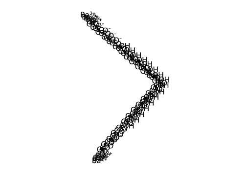 O=S(=O)(O)O.O=S(=O)(O)O.O=S(=O)(O)O.O=S(=O)(O)O.O=S(=O)(O)O.O=S(=O)(O)O.O=S(=O)(O)O.O=S(=O)(O)O.O=S(=O)(O)O.O=S(=O)(O)O.O=S(=O)(O)O.O=S(=O)(O)O.O=S(=O)(O)O.O=S(=O)(O)O.O=S(=O)(O)O.O=S(=O)([O-])[O-].O=S(=O)([O-])[O-].O=S(=O)([O-])[O-].O=S(=O)([O-])[O-].O=S(=O)([O-])[O-].O=S(=O)([O-])[O-].O=S(=O)([O-])[O-].O=S(=O)([O-])[O-].O=S(=O)([O-])[O-].O=S(=O)([O-])[O-].[Ba+2].[Ba+2].[Ba+2].[Ba+2].[Ba+2].[Ba+2].[Ba+2].[Ba+2].[Ba+2].[Ba+2]